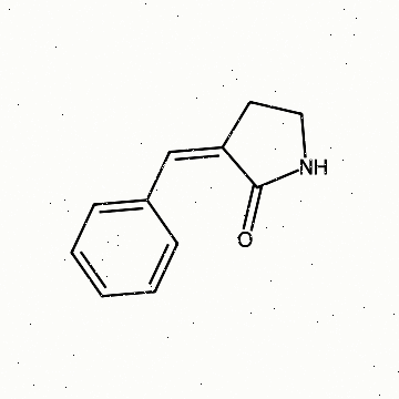 O=C1NCCC1=Cc1ccccc1